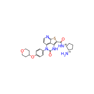 N[C@H]1CCC[C@H]1NC(=O)c1sc2nccc3c2c1NC(=O)N3c1ccc(OC2CCOCC2)cc1